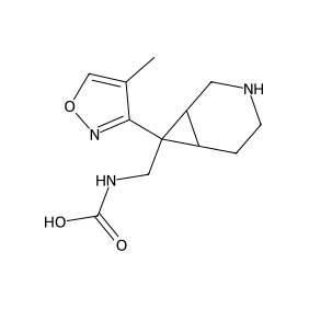 Cc1conc1C1(CNC(=O)O)C2CCNCC21